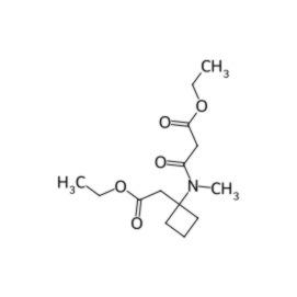 CCOC(=O)CC(=O)N(C)C1(CC(=O)OCC)CCC1